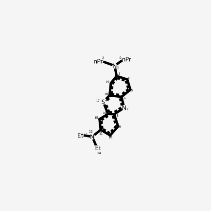 CCCN(CCC)c1ccc2nc3ccc(N(CC)CC)cc3[s+]c2c1